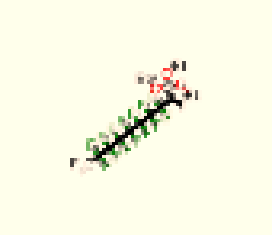 CCO[Si](OCC)(OCC)C(C)C(F)(F)C(F)(F)C(F)(F)C(F)(F)C(F)(F)C(F)(F)C(F)(F)C(F)(F)F